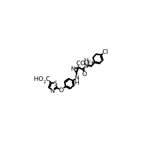 CCOC(=O)[C@@]1(C(=O)NCC2=CC=C(Cl)CC2)N=C1Nc1ccc(Oc2ncc(C(=O)O)s2)cc1